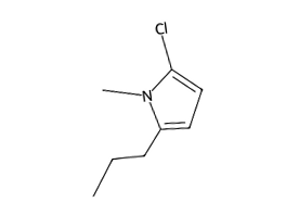 CCCc1ccc(Cl)n1C